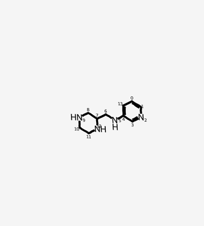 c1cncc(NCC2CNCCN2)c1